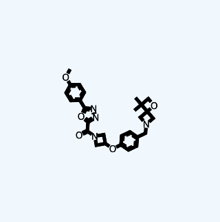 COc1ccc(-c2nnc(C(=O)N3CC(Oc4ccc(CN5CC6(C5)OCC6(C)C)cc4)C3)o2)cc1